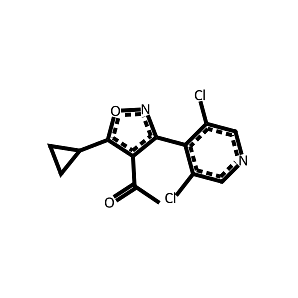 CC(=O)c1c(-c2c(Cl)cncc2Cl)noc1C1CC1